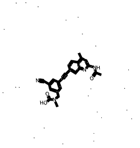 CC(=O)Nc1cc(C)c2ccc(C#Cc3cc(C#N)cc(CN(C)C(=O)O)c3)cc2n1